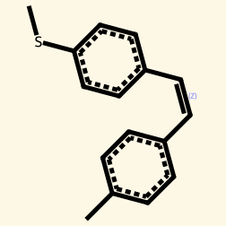 CSc1ccc(/C=C\c2ccc(C)cc2)cc1